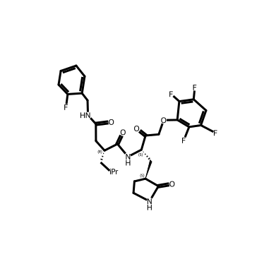 CC(C)C[C@H](CC(=O)NCc1ccccc1F)C(=O)N[C@@H](C[C@@H]1CCNC1=O)C(=O)COc1c(F)c(F)cc(F)c1F